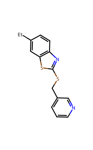 CCc1ccc2nc(SCc3cccnc3)sc2c1